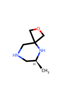 C[C@H]1CNCC2(COC2)N1